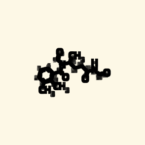 Cc1cccc(C(=O)N(C=O)C(C)CCC(=O)NC=O)c1C